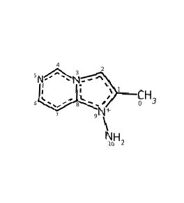 Cc1cn2cnccc2[n+]1N